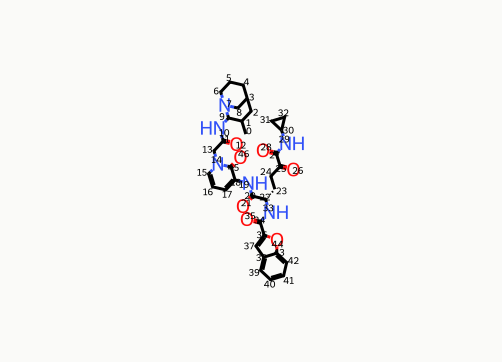 CC1CC2CCCN(C2)C1NC(=O)Cn1cccc(NC(=O)[C@H](CCC(=O)C(=O)NC2CC2)NC(=O)c2cc3ccccc3o2)c1=O